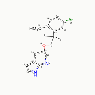 CC(C)(COc1cnc2[nH]ccc2c1)c1cc(Br)ccc1C(=O)O